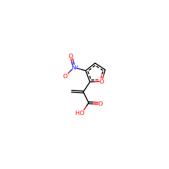 C=C(C(=O)O)c1occc1[N+](=O)[O-]